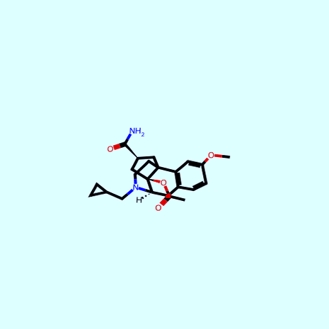 COc1ccc2c(c1)C13CCN(CC4CC4)[C@H](C2)[C@]1(OC(C)=O)C[C@@H](C(N)=O)C3